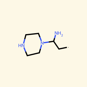 [CH2]CC(N)N1CCNCC1